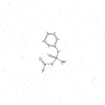 O=[N+]([O-])OP(=O)(O)Oc1ccccc1